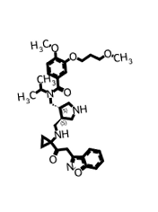 COCCCOc1cc(C(=O)N(C[C@@H]2CNC[C@H]2CNC2(C(=O)Cc3noc4ccccc34)CC2)C(C)C)ccc1OC